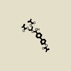 C=C(C)C(=O)OCC(COC(=O)C(=C)C)OC(O)c1ccc(-c2ccc(OC(=O)C(=C)C)cc2)cc1